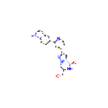 O=C1NC(CO)Cn2nc(-c3ccnc(-c4ccc5[nH]ccc5c4)c3)cc21